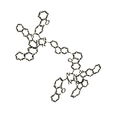 c1ccc2cc3c(cc2c1)c1ccccc1n3-c1cc2c(cc1-c1nc(-c3ccc4c(ccc5ccccc54)c3)nc(-c3ccc4c(ccc5cc(-c6cccc7c6oc6cc(-c8nc(-c9cccc%10c9oc9ccccc9%10)nc(-n9c%10ccccc%10c%10ccccc%109)n8)c(-n8c9ccccc9c9cc%10ccccc%10cc98)cc67)ccc54)c3)n1)oc1ccccc12